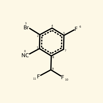 N#Cc1c(Br)cc(F)cc1C(F)F